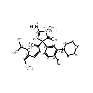 C=C(/C=C\C(=C/C)OC(F)F)C1(c2ccc(F)c(N3CCOCC3)c2)N=C(N)N(C)C1=O